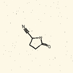 N#CC1CCC(=O)[N]1